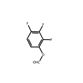 O=[C]Oc1ccc(F)c(F)c1F